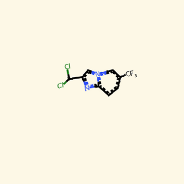 FC(F)(F)c1ccc2nc(C(Cl)Cl)cn2c1